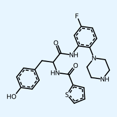 O=C(NC(Cc1ccc(O)cc1)C(=O)Nc1cc(F)ccc1N1CCNCC1)c1cccs1